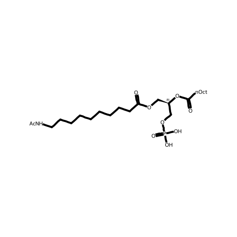 CCCCCCCCC(=O)O[C@H](COC(=O)CCCCCCCCCNC(C)=O)COP(=O)(O)O